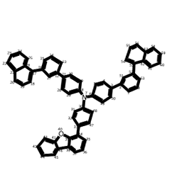 c1cc(-c2ccc(N(c3ccc(-c4cccc(-c5cccc6ccccc56)c4)cc3)c3ccc(-c4cccc5c4oc4ccccc45)cc3)cc2)cc(-c2cccc3ccccc23)c1